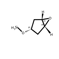 [SiH3]O[C@@H]1C[C@@H]2O[C@@H]2C1